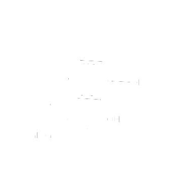 CCCCCS(=O)(=O)c1cccc(O)c1O